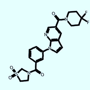 O=C(c1cnc2c(ccn2-c2cccc(C(=O)N3CCS(=O)(=O)C3)c2)c1)N1CCC(F)(F)CC1